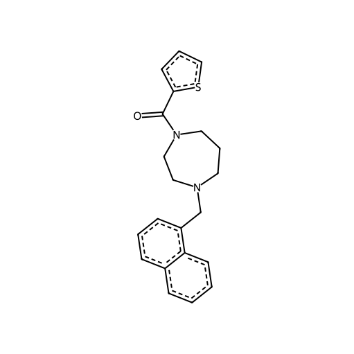 O=C(c1cccs1)N1CCCN(Cc2cccc3ccccc23)CC1